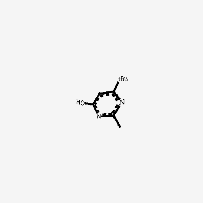 Cc1nc(O)cc(C(C)(C)C)n1